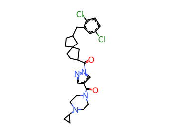 O=C(c1cnn(C(=O)C2CCC3(CCC(Cc4cc(Cl)ccc4Cl)C3)C2)c1)N1CCN(C2CC2)CC1